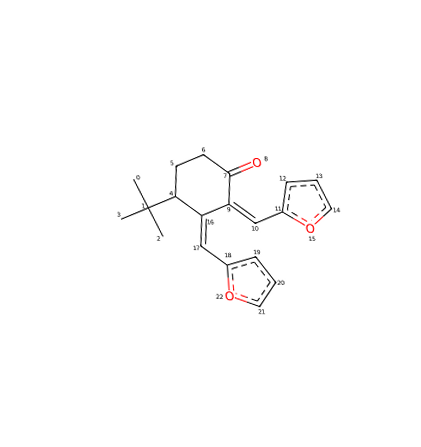 CC(C)(C)C1CCC(=O)C(=C\c2ccco2)/C1=C\c1ccco1